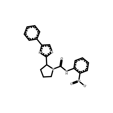 O=C(Nc1ccccc1[N+](=O)[O-])N1CCCC1c1nc(-c2ccccc2)cs1